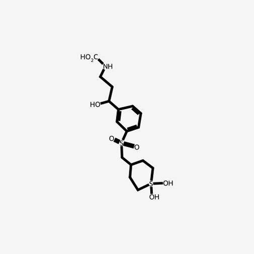 O=C(O)NCCC(O)c1cccc(S(=O)(=O)CC2CCS(O)(O)CC2)c1